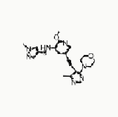 COc1ncc(C#Cc2c(C)ncnc2N2CCOCC2)cc1NSc1cnn(C)c1